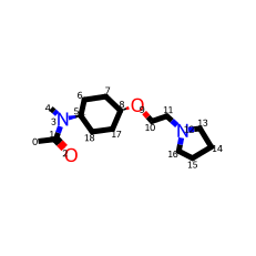 CC(=O)N(C)[C@H]1CC[C@H](OCCN2CCCC2)CC1